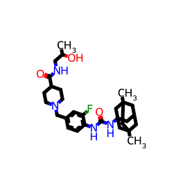 CC(O)CNC(=O)C1CCN(Cc2ccc(NC(=O)NC34CC5CC(C)(CC(C)(C5)C3)C4)c(F)c2)CC1